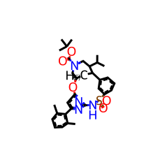 Cc1cccc(C)c1-c1cc2nc(n1)NS(=O)(=O)c1cccc(c1)C1C[C@@H](CN(C(=O)OC(C)(C)C)CC1C(C)C)O2